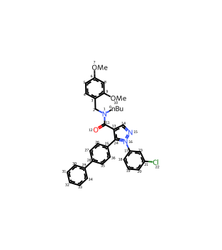 CCCCN(Cc1ccc(OC)cc1OC)C(=O)c1cnn(-c2cccc(Cl)c2)c1-c1ccc(-c2ccccc2)cc1